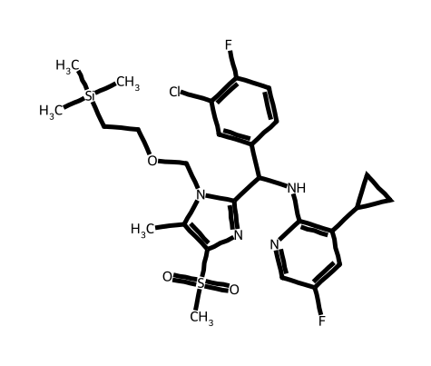 Cc1c(S(C)(=O)=O)nc(C(Nc2ncc(F)cc2C2CC2)c2ccc(F)c(Cl)c2)n1COCC[Si](C)(C)C